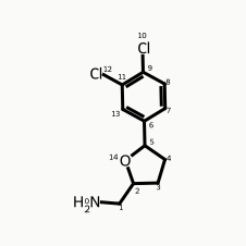 NCC1CCC(c2ccc(Cl)c(Cl)c2)O1